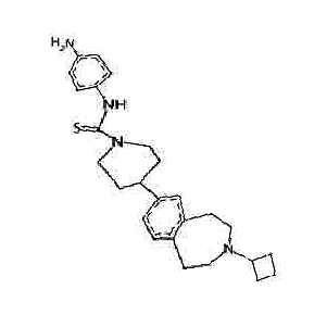 Nc1ccc(NC(=S)N2CCC(c3ccc4c(c3)CCN(C3CCC3)CC4)CC2)cc1